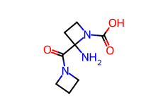 NC1(C(=O)N2CCC2)CCN1C(=O)O